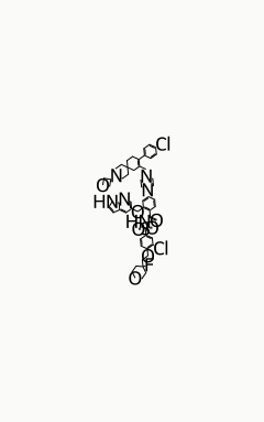 O=C(NS(=O)(=O)c1ccc(OCC2(F)CCOCC2)c(Cl)c1)c1ccc(N2CCN(CC3=C(c4ccc(Cl)cc4)CCC4(CCN(C5COC5)CC4)C3)CC2)cc1Oc1cnc2[nH]ccc2c1